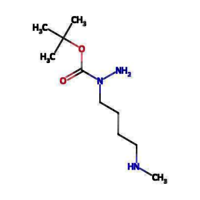 CNCCCCN(N)C(=O)OC(C)(C)C